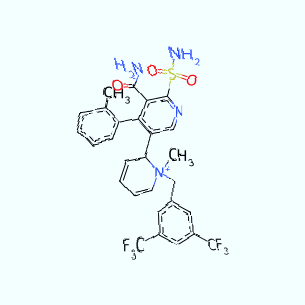 Cc1ccccc1-c1c(C2C=CC=C[N+]2(C)Cc2cc(C(F)(F)F)cc(C(F)(F)F)c2)cnc(S(N)(=O)=O)c1C(N)=O